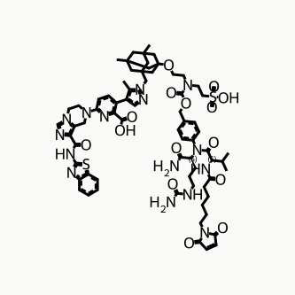 Cc1c(-c2ccc(N3CCn4cnc(C(=O)Nc5nc6ccccc6s5)c4C3)nc2C(=O)O)cnn1CC12CC3(C)CC(C)(C1)CC(OCCN(CCS(=O)(=O)O)C(=O)OCc1ccc(N(C(=O)[C@@H](NC(=O)CCCCCN4C(=O)C=CC4=O)C(C)C)[C@@H](CCCNC(N)=O)C(N)=O)cc1)(C3)C2